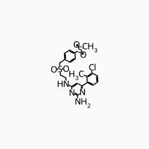 Cc1c(Cl)cccc1-c1cc(NCCS(=O)(=O)Cc2ccc(S(C)(=O)=O)cc2)nc(N)n1